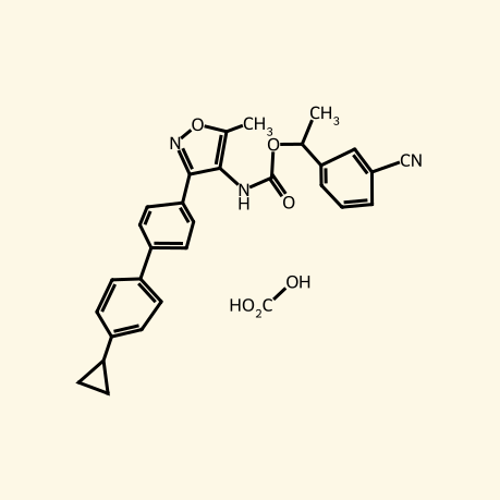 Cc1onc(-c2ccc(-c3ccc(C4CC4)cc3)cc2)c1NC(=O)OC(C)c1cccc(C#N)c1.O=C(O)O